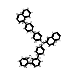 c1ccc2cc(N(c3ccc(-c4ccc(-c5cccc6ccccc56)cc4)cc3)c3ccc(-c4cccc5c4oc4ccccc45)cc3)ccc2c1